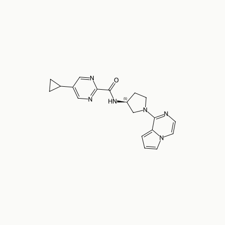 O=C(N[C@H]1CCN(c2nccn3cccc23)C1)c1ncc(C2CC2)cn1